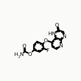 NC(=O)Oc1ccc(Oc2ccnc3ncc(=O)[nH]c23)c(F)c1